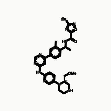 COC[C@H]1CNCCN1c1ccc(Nc2cc(-c3ccc(C(C)NC(=O)c4nc(C(C)(C)C)no4)c(C)c3)ncn2)nc1